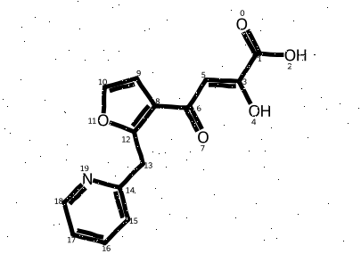 O=C(O)/C(O)=C/C(=O)c1ccoc1Cc1ccccn1